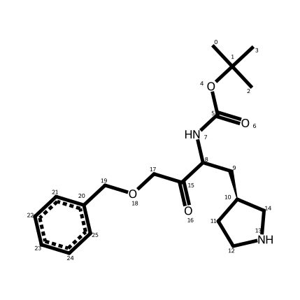 CC(C)(C)OC(=O)NC(C[C@@H]1CCNC1)C(=O)COCc1ccccc1